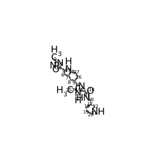 Cc1noc(-c2cc3cc(-c4nc(C(=O)NCC5=CC=CNC5)[nH]c4C)ccc3[nH]2)n1